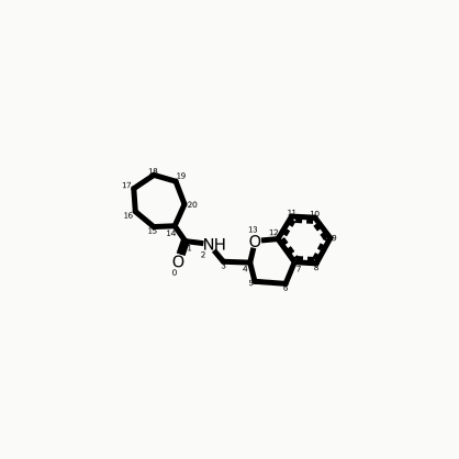 O=C(NCC1CCc2ccccc2O1)C1CCCCCC1